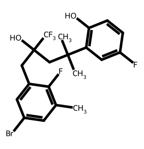 Cc1cc(Br)cc(CC(O)(CC(C)(C)c2cc(F)ccc2O)C(F)(F)F)c1F